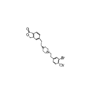 N#Cc1ccc(CCN2CCN(CCc3ccc4c(c3)COC4=O)CC2)cc1Br